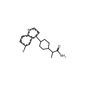 CC(C(N)=O)C1CCC(c2ccnc3ccc(F)cc23)CC1